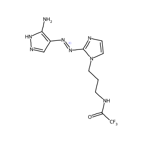 Nc1[nH]ncc1/N=N/c1nccn1CCCNC(=O)C(F)(F)F